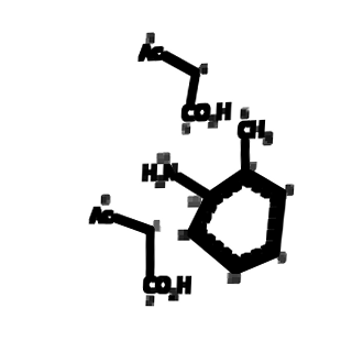 CC(=O)CC(=O)O.CC(=O)CC(=O)O.Cc1ccccc1N